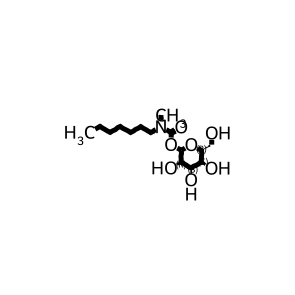 CCCCCCCN(C)C(=O)OC1O[C@H](CO)[C@@H](O)[C@H](O)[C@H]1O